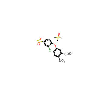 CS(=O)(=O)c1ccc(Oc2ccc([N+](=O)[O-])c(C(=O)[O-])c2)c(Cl)c1.C[S+](C)(C)=O